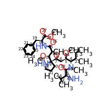 CC[C@H](C)[C@@H]([C@@H](CC(=O)[C@@]1([C@H](OC)[C@@H](C)C(=O)N[C@@H](Cc2ccccc2)C(=O)OC)CCCN1)OC)N(C)C(=O)[C@@H](N)C(C)C